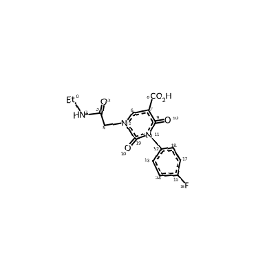 CCNC(=O)Cn1cc(C(=O)O)c(=O)n(-c2ccc(F)cc2)c1=O